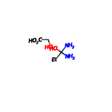 CCC(N)(N)O.O=C(O)CO